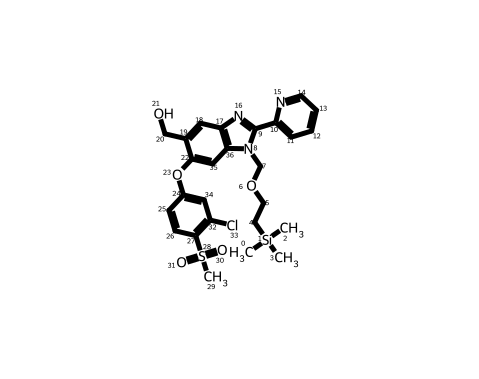 C[Si](C)(C)CCOCn1c(-c2ccccn2)nc2cc(CO)c(Oc3ccc(S(C)(=O)=O)c(Cl)c3)cc21